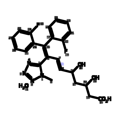 Cn1nnnc1C(/C=C/C(O)CC(O)CC(=O)O)=C(c1ccccc1F)c1ccccc1F.O